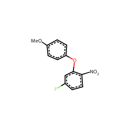 COc1ccc(Oc2cc(F)ccc2[N+](=O)[O-])cc1